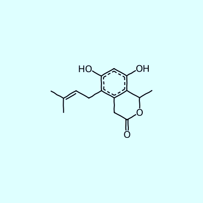 CC(C)=CCc1c(O)cc(O)c2c1CC(=O)OC2C